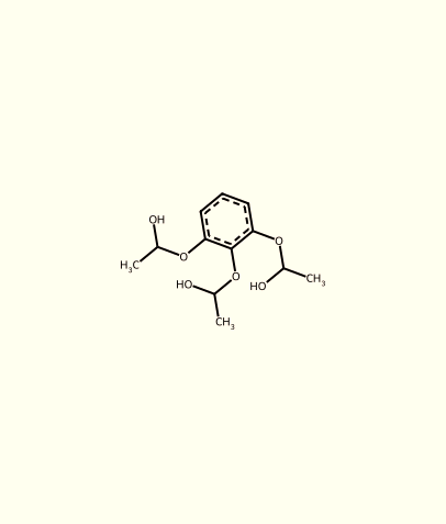 CC(O)Oc1cccc(OC(C)O)c1OC(C)O